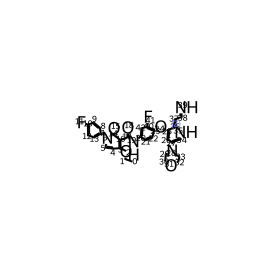 CCOc1ccn(-c2ccc(F)cc2)c(=O)c1C(=O)Nc1ccc(OC2=CC(N3CCOCC3)=CN/C2=C\C=N)c(F)c1